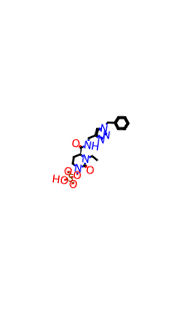 CCN1C(=O)N(OS(=O)(=O)O)CC[C@H]1C(=O)NCc1cn(Cc2ccccc2)nn1